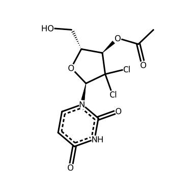 CC(=O)O[C@@H]1[C@@H](CO)O[C@H](n2ccc(=O)[nH]c2=O)C1(Cl)Cl